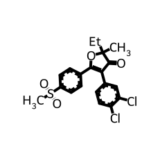 CCC1(C)OC(c2ccc(S(C)(=O)=O)cc2)=C(c2ccc(Cl)c(Cl)c2)C1=O